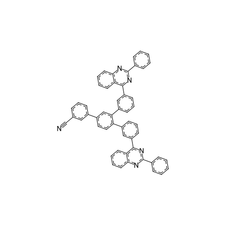 N#Cc1cccc(-c2ccc(-c3cccc(-c4nc(-c5ccccc5)nc5ccccc45)c3)c(-c3cccc(-c4nc(-c5ccccc5)nc5ccccc45)c3)c2)c1